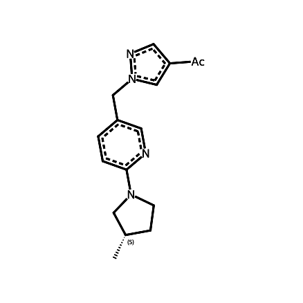 CC(=O)c1cnn(Cc2ccc(N3CC[C@H](C)C3)nc2)c1